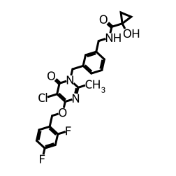 Cc1nc(OCc2ccc(F)cc2F)c(Cl)c(=O)n1Cc1cccc(CNC(=O)C2(O)CC2)c1